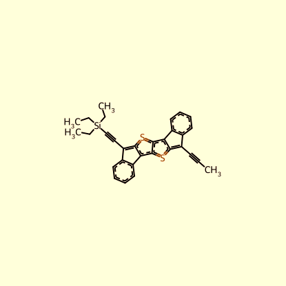 CC#CC1=c2sc3c4c(sc3c2-c2ccccc21)=C(C#C[Si](CC)(CC)CC)c1ccccc1-4